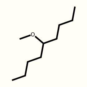 CCCC[C](CCCC)OC